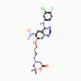 CC1(C)CN(CCCCOc2cc3ncnc(Nc4ccc(F)c(Cl)c4)c3cc2[N+](=O)[O-])CC(=O)O1